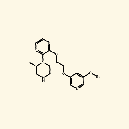 CCOc1cncc(OCCOc2nccnc2N2CCNC[C@H]2C)c1